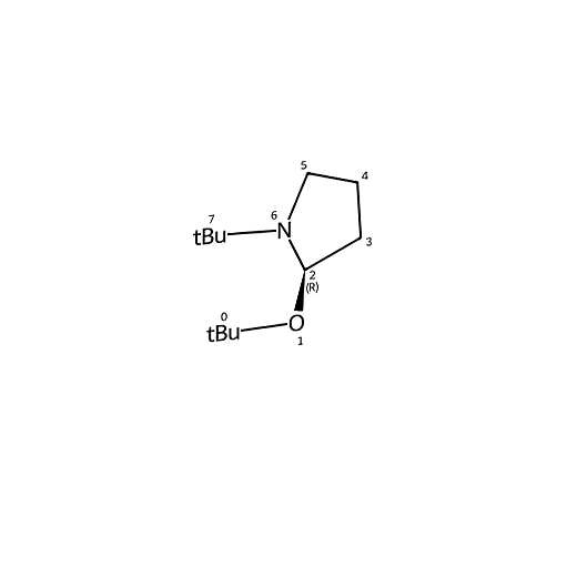 CC(C)(C)O[C@@H]1CCCN1C(C)(C)C